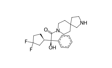 O=C(N1CCC2(CCNC2)CC1)[C@](O)(c1ccccc1)[C@@H]1CCC(F)(F)C1